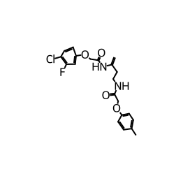 C=C(CCNC(=O)COc1ccc(C)cc1)NC(=O)COc1ccc(Cl)c(F)c1